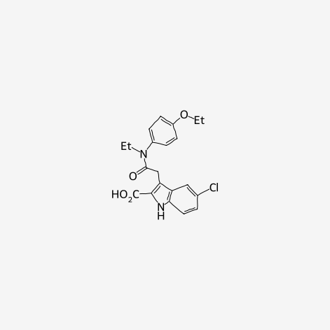 CCOc1ccc(N(CC)C(=O)Cc2c(C(=O)O)[nH]c3ccc(Cl)cc23)cc1